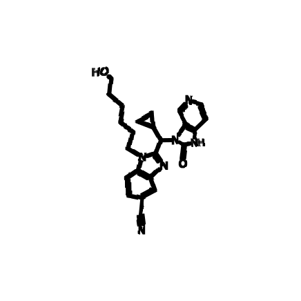 N#Cc1ccc2c(c1)nc(C(C1CC1)n1c(=O)[nH]c3ccncc31)n2CCCCCCO